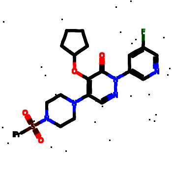 CC(C)S(=O)(=O)N1CCN(c2cnn(-c3cncc(F)c3)c(=O)c2OC2CCCC2)CC1